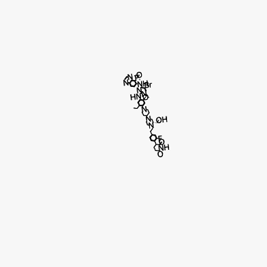 CCc1cc(Nc2ncc(Br)c(Nc3ccc4nccnc4c3P(C)(C)=O)n2)c(OC)cc1N1CCC(N2CCN(CCc3ccc(C4CCC(=O)NC4=O)c(F)c3)[C@@H](CO)C2)CC1